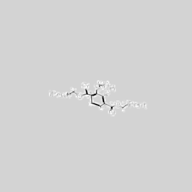 CCCC(C)COC(=O)c1ccc(C(=O)OCC(C)CCC)c(S(=O)(=O)O)c1.[KH]